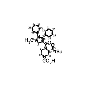 Cc1cc(C(=O)N2CCN(C(=O)O)C[C@H]2C(=O)C(C)(C)C)c(-c2ccccc2)n1-c1ccccc1